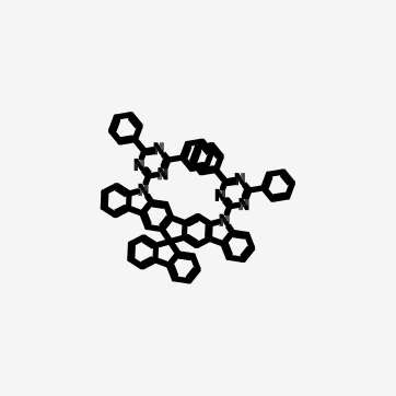 c1ccc(-c2nc(-c3ccccc3)nc(-n3c4ccccc4c4cc5c(cc43)-c3cc4c(cc3C53c5ccccc5-c5ccccc53)c3ccccc3n4-c3nc(-c4ccccc4)nc(-c4ccccc4)n3)n2)cc1